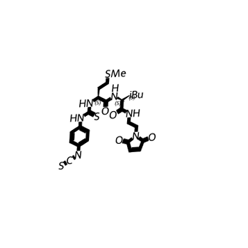 CC[C@H](C)[C@H](NC(=O)[C@H](CCSC)NC(=S)Nc1ccc(N=C=S)cc1)C(=O)NCCN1C(=O)C=CC1=O